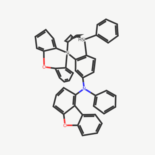 c1ccc(N(c2ccc3c(c2)[Si]2(c4ccccc4Oc4ccccc42)c2ccccc2[SiH]3c2ccccc2)c2cccc3oc4ccccc4c23)cc1